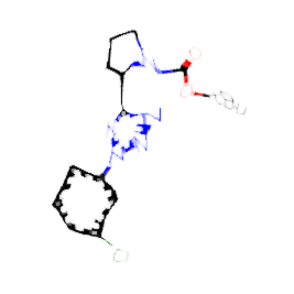 CC(C)(C)OC(=O)N1CCCC1c1nnn(-c2cccc(Cl)c2)n1